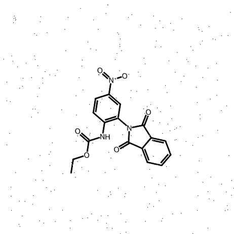 CCOC(=O)Nc1ccc([N+](=O)[O-])cc1N1C(=O)c2ccccc2C1=O